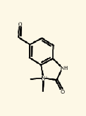 C[N+]1(C)C(=O)Nc2ccc(C=O)cc21